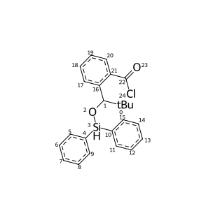 CC(C)(C)C(O[SiH](c1ccccc1)c1ccccc1)c1ccccc1C(=O)Cl